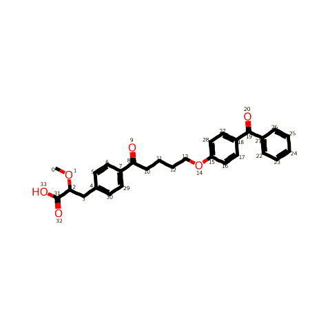 COC(Cc1ccc(C(=O)CCCCOc2ccc(C(=O)c3ccccc3)cc2)cc1)C(=O)O